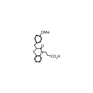 COc1ccc(CC2Sc3ccccc3N(CCC(=O)O)C2=O)cc1